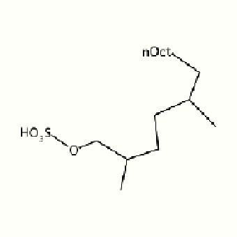 CCCCCCCCCC(C)CCC(C)COS(=O)(=O)O